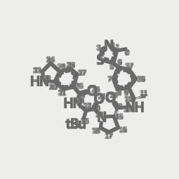 Cc1ncsc1-c1ccc([C@H](C)NC(=O)[C@@H]2CCCN2C(=O)C(NC(=O)c2ccc3c(c2)NCC3)C(C)(C)C)cc1